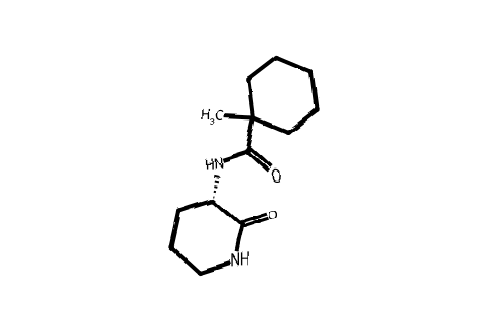 CC1(C(=O)N[C@H]2CCCNC2=O)CCCCC1